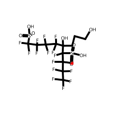 O=S(=O)(O)C(F)(F)C(F)(F)C(F)(F)C(F)(F)C(O)(CCCO)C(F)(C(F)(F)C(F)(F)C(F)(F)F)S(=O)(=O)O